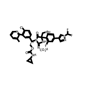 Cc1cccnc1-c1cc([C@@H](COC(=O)NC2CC2)N2C(=O)C(CC(C)(C)C)(c3ccc(-c4cnn(C(F)F)c4)cc3F)NC2=NC(=O)O)ccc1Cl